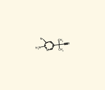 CC(C)(C#N)c1cnc(N)c(Br)c1